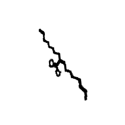 CCCCCCCCC(CCCCCCCC)C([O])=O